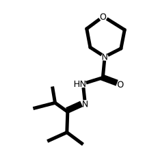 CC(C)C(=NNC(=O)N1CCOCC1)C(C)C